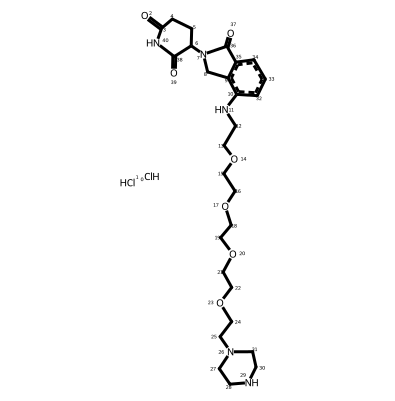 Cl.Cl.O=C1CCC(N2Cc3c(NCCOCCOCCOCCOCCN4CCNCC4)cccc3C2=O)C(=O)N1